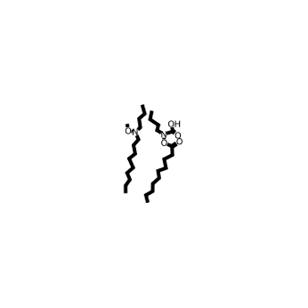 CCCCCCCCCC(=O)ON(CCCC)C(=O)O.CCCCCCCCCN(CCCC)OC